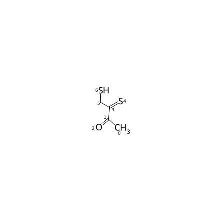 CC(=O)C(=S)CS